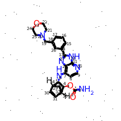 NC(=O)O[C@@H]1[C@H](Nc2ccnc3[nH]c(-c4cccc(CN5CCOCC5)c4)nc23)[C@H]2C=C[C@@H]1C2